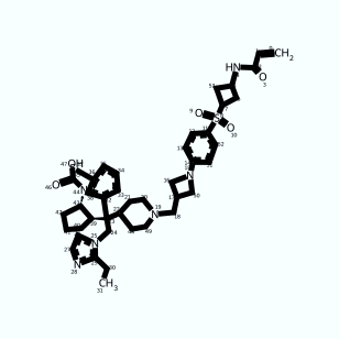 C=CC(=O)NC1CC(S(=O)(=O)c2ccc(N3CC(CN4CCC(C(Cn5ccnc5CC)(c5cccc(F)c5)[C@H]5CCC[C@@H]5NC(=O)O)CC4)C3)cc2)C1